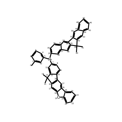 Cc1cccc(N(c2ccc3c(c2)C(C)(C)c2cc4oc5ccccc5c4cc2-3)c2ccc3cc4c(cc3c2)C(C)(C)c2cc3ccccc3cc2-4)c1